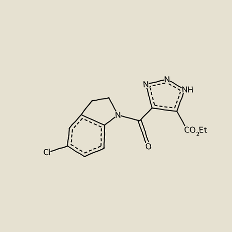 CCOC(=O)c1[nH]nnc1C(=O)N1CCc2cc(Cl)ccc21